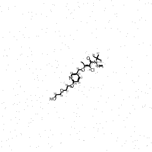 C=NN(C(=O)/C(Cl)=C(\C)OCc1ccc(OCCOCCO)nc1)C(C)(C)C